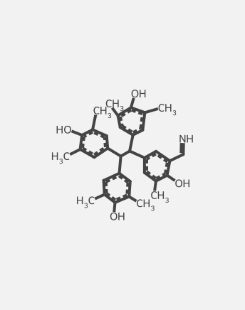 Cc1cc(C(c2cc(C)c(O)c(C)c2)C(c2cc(C)c(O)c(C)c2)c2cc(C)c(O)c(C=N)c2)cc(C)c1O